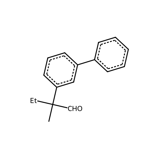 CCC(C)(C=O)c1cccc(-c2ccccc2)c1